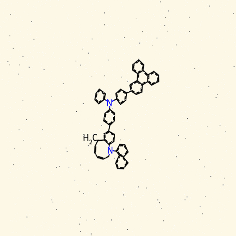 C=C1/C=C\C=C/CN(c2cccc3ccccc23)c2ccc(-c3ccc(N(c4ccccc4)c4ccc(-c5ccc6c7ccccc7c7ccccc7c6c5)cc4)cc3)cc21